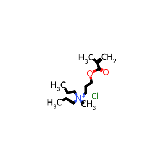 C=C(C)C(=O)OCCC[N+](C)(CCC)CCC.[Cl-]